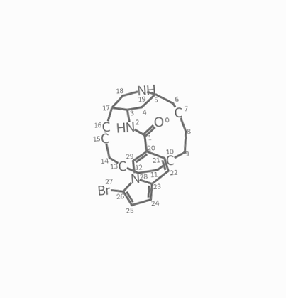 O=C(NC1CC2CCCCCCCCCCCC1CN2)c1ccc2ccc(Br)n2c1